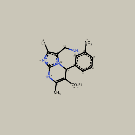 CCOC(=O)C1=C(C)Nc2nc(CC)c(CN)n2C1c1cccc([N+](=O)[O-])c1